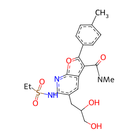 CCS(=O)(=O)Nc1nc2oc(-c3ccc(C)cc3)c(C(=O)NC)c2cc1CC(O)CO